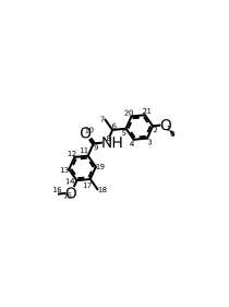 COc1ccc(C(C)NC(=O)c2ccc(OC)c(C)c2)cc1